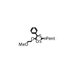 CCCCCC(=S)SC(C(=O)OCCOC)c1ccccc1